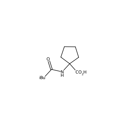 CCC(C)C(=O)NC1(C(=O)O)CCCC1